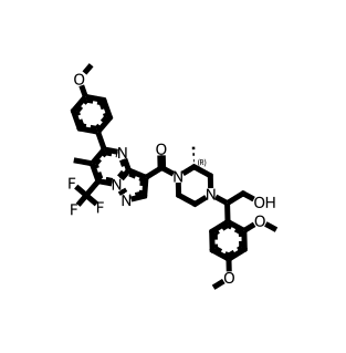 COc1ccc(-c2nc3c(C(=O)N4CCN(C(CO)c5ccc(OC)cc5OC)C[C@H]4C)cnn3c(C(F)(F)F)c2C)cc1